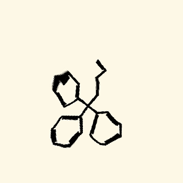 C=CCCC(c1ccccc1)(c1ccccc1)c1ccccc1